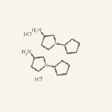 Cl.Cl.NC1CCN(C2CCCC2)C1.NC1CCN(C2CCCC2)C1